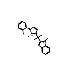 Cc1ccccc1N1C=CN(C(C)(C)c2cc3ccccc3n2C)[C@@H]1C